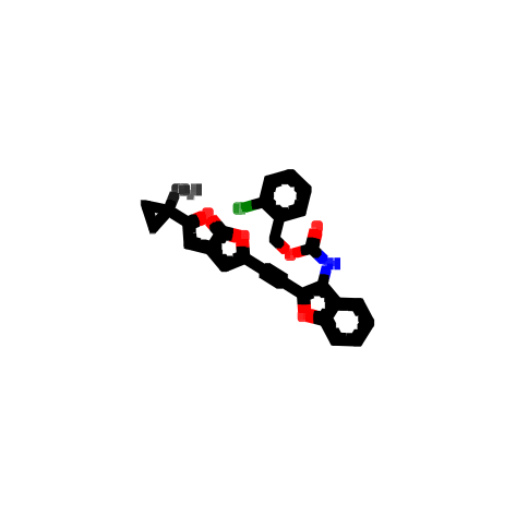 O=C(Nc1c(C#Cc2cc3cc(C4(C(=O)O)CC4)oc3o2)oc2ccccc12)OCc1ccccc1Cl